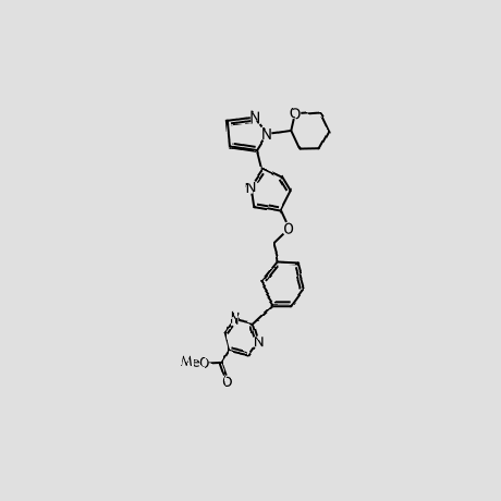 COC(=O)c1cnc(-c2cccc(COc3ccc(-c4ccnn4C4CCCCO4)nc3)c2)nc1